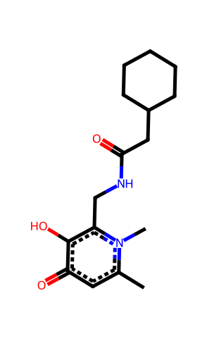 Cc1cc(=O)c(O)c(CNC(=O)CC2CCCCC2)n1C